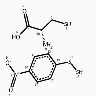 N[C@@H](CS)C(=O)O.O=[N+]([O-])c1ccc(SS)cc1